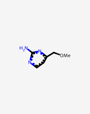 COCc1ccnc(N)n1